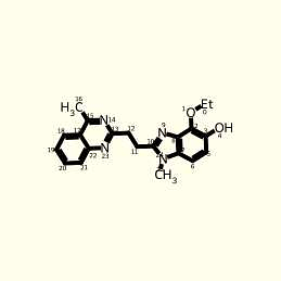 CCOc1c(O)ccc2c1nc(CCc1nc(C)c3ccccc3n1)n2C